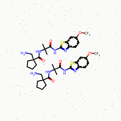 CC(C)(NC(=O)C1(CN)CCCC1)C(=O)Nc1nc2ccc(OC(F)(F)F)cc2s1.CC(C)(NC(=O)C1(CN)CCCC1)C(=O)Nc1nc2ccc(OC(F)(F)F)cc2s1